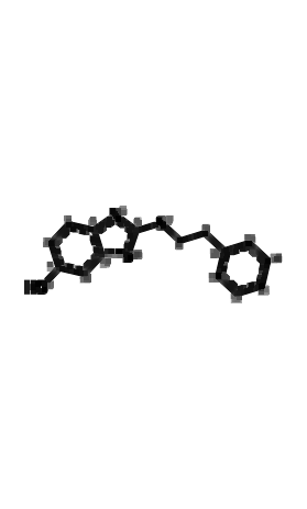 Oc1ccc2nc(SCCc3ccccc3)sc2c1